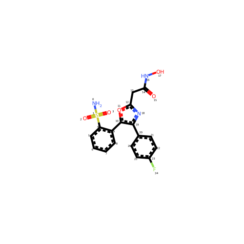 NS(=O)(=O)c1ccccc1-c1oc(CC(=O)NO)nc1-c1ccc(F)cc1